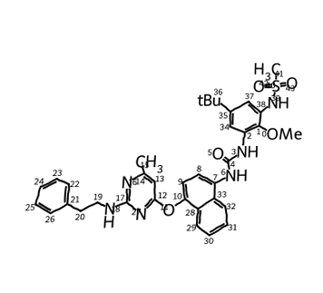 COc1c(NC(=O)Nc2ccc(Oc3cc(C)nc(NCCc4ccccc4)n3)c3ccccc23)cc(C(C)(C)C)cc1NS(C)(=O)=O